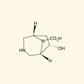 O=C(O)N1[C@@H]2CNC[C@H]1[C@@H](O)C2